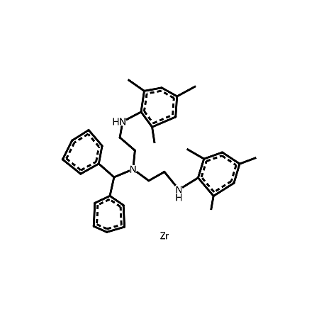 Cc1cc(C)c(NCCN(CCNc2c(C)cc(C)cc2C)C(c2ccccc2)c2ccccc2)c(C)c1.[Zr]